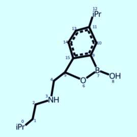 CC(C)CCNCC1OB(O)c2cc(C(C)C)ccc21